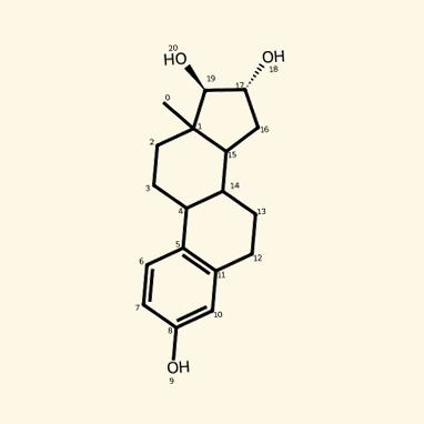 CC12CCC3c4ccc(O)cc4CCC3C1C[C@@H](O)[C@@H]2O